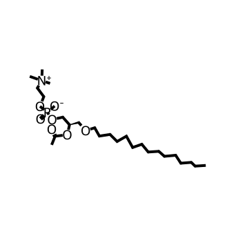 CCCCCCCCCCCCCCCOC[C@H](COP(=O)([O-])OCC[N+](C)(C)C)OC(C)=O